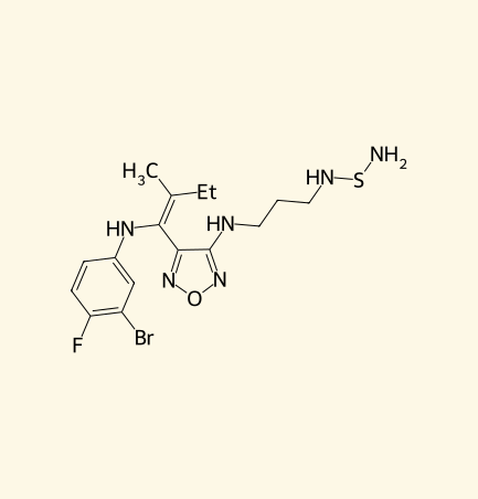 CC/C(C)=C(/Nc1ccc(F)c(Br)c1)c1nonc1NCCCNSN